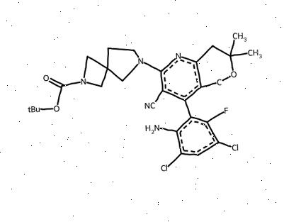 CC(C)(C)OC(=O)N1CC2(CCN(c3nc4c(c(-c5c(N)c(Cl)cc(Cl)c5F)c3C#N)COC(C)(C)C4)C2)C1